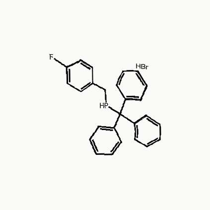 Br.Fc1ccc(CPC(c2ccccc2)(c2ccccc2)c2ccccc2)cc1